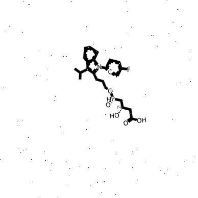 CC(C)c1c(CCCO[PH](=O)C[C@@H](O)CC(=O)O)n(-c2ccc(F)cc2)c2ccccc12